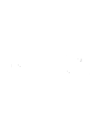 Nc1ccc(-c2c[nH]c(Cl)n2)cc1